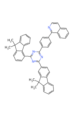 CC1(C)c2ccccc2-c2ccc(-c3nc(-c4ccc(-c5nccc6ccccc56)cc4)nc(-c4cccc5c4-c4ccccc4C5(C)C)n3)cc21